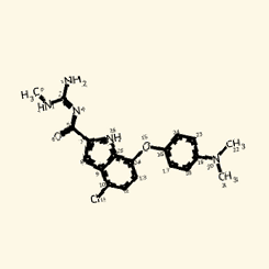 CNC(N)=NC(=O)c1cc2c(Cl)ccc(Oc3ccc(N(C)C)cc3)c2[nH]1